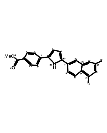 COC(=O)c1ccc(-c2ccc(-c3ccc4c(C)cc(C)cc4c3)[nH]2)cc1